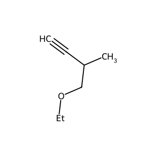 C#CC(C)COC[CH2]